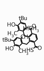 Cc1cc(C(C)(C)C)c(O)c(C)c1Cc1c(C(=O)S)ccc(C(=O)S)c1Cc1c(C)cc(C(C)(C)C)c(O)c1C